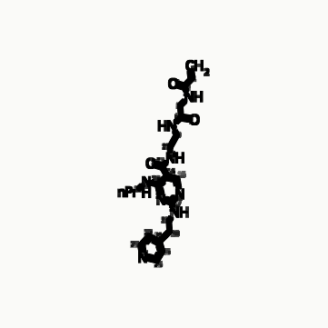 C=CC(=O)NCC(=O)NCCNC(=O)c1cnc(NCCc2ccncc2)nc1NCCC